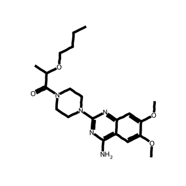 CCCCOC(C)C(=O)N1CCN(c2nc(N)c3cc(OC)c(OC)cc3n2)CC1